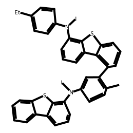 CCc1ccc(N(I)c2cccc3c2sc2cccc(-c4cc(N(I)c5cccc6c5sc5ccccc56)ccc4C)c23)cc1